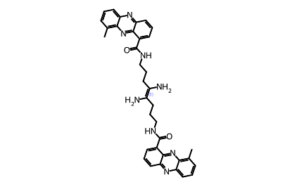 Cc1cccc2nc3cccc(C(=O)NCCC/C(N)=C(\N)CCCNC(=O)c4cccc5nc6cccc(C)c6nc45)c3nc12